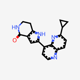 O=C1NCCc2[nH]c(-c3ccnc4ccc(C5CC5)nc34)cc21